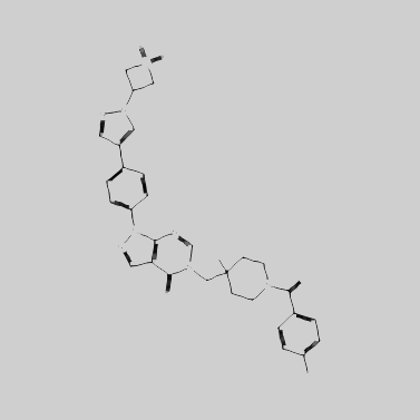 O=C(c1ccc(F)cc1)N1CCC(O)(Cn2cnc3c(cnn3-c3ccc(-c4cnn(C5CS(=O)(=O)C5)c4)cc3)c2=O)CC1